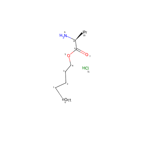 CCCCCCCCCCCCOC(=O)[C@@H](N)C(C)C.Cl